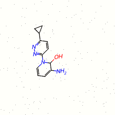 NC1=CC=CN(c2ccc(C3CC3)nn2)C1O